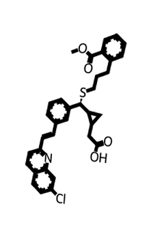 COC(=O)c1ccccc1CCCS[C@@H](c1cccc(C=Cc2ccc3ccc(Cl)cc3n2)c1)C1CC1CC(=O)O